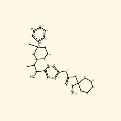 CC(C(O)c1ccc(OC(=O)CC2(CN)CCCCC2)cc1)N1CCCC(C)(c2ccccc2)C1